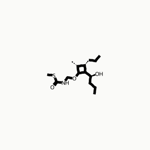 CCC[C@@H]1C([C@@H](O)CCC)C(OCNC(=O)SC)[C@@H]1C